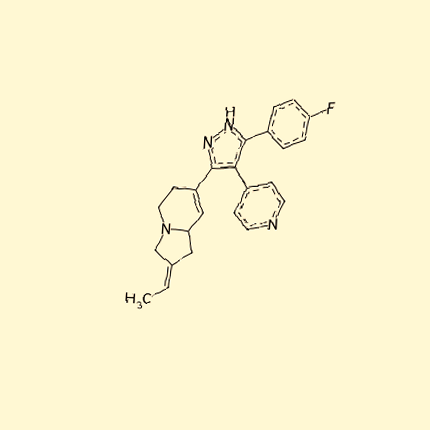 C/C=C1/CC2C=C(c3n[nH]c(-c4ccc(F)cc4)c3-c3ccncc3)CCN2C1